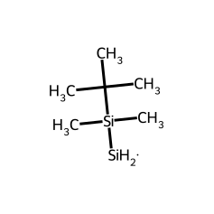 CC(C)(C)[Si](C)(C)[SiH2]